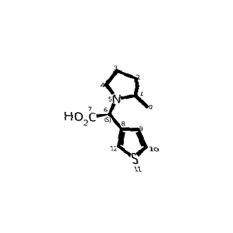 CC1CCCN1[C@H](C(=O)O)c1ccsc1